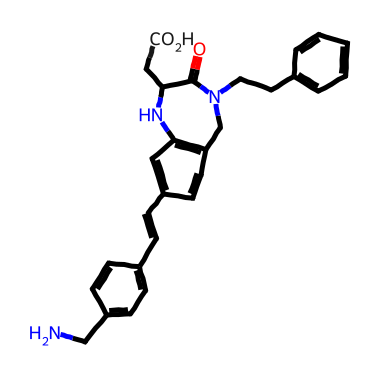 NCc1ccc(/C=C/c2ccc3c(c2)NC(CC(=O)O)C(=O)N(CCc2ccccc2)C3)cc1